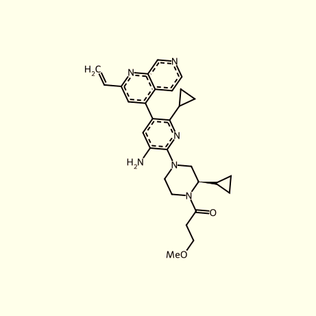 C=Cc1cc(-c2cc(N)c(N3CCN(C(=O)CCOC)[C@H](C4CC4)C3)nc2C2CC2)c2ccncc2n1